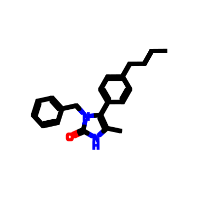 CCCCc1ccc(-c2c(C)[nH]c(=O)n2Cc2ccccc2)cc1